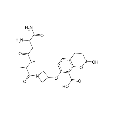 CC(NC(=O)CC(N)C(N)=O)C(=O)N1CC(Oc2ccc3c(c2C(=O)O)OB(O)CC3)C1